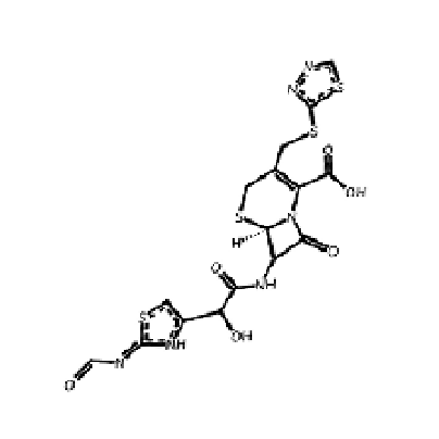 O=C/N=c1/[nH]c(C(O)C(=O)NC2C(=O)N3C(C(=O)O)=C(CSc4nncs4)CS[C@H]23)cs1